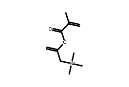 C=C(C[N+](C)(C)C)OC(=O)C(=C)C